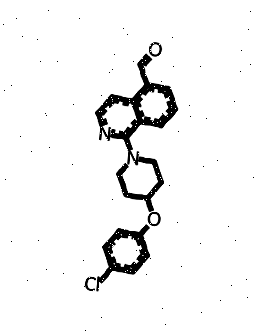 O=Cc1cccc2c(N3CCC(Oc4ccc(Cl)cc4)CC3)nccc12